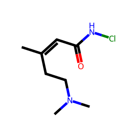 CC(=CC(=O)NCl)CCN(C)C